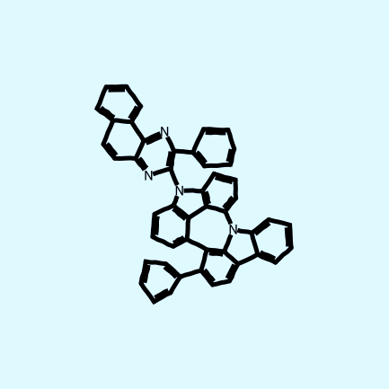 c1ccc(-c2nc3c(ccc4ccccc43)nc2-n2c3cccc4c5c(-c6ccccc6)ccc6c7ccccc7n(c7cccc2c7c43)c65)cc1